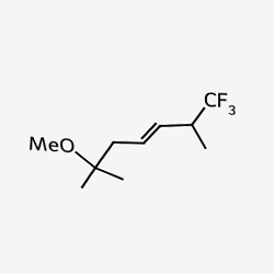 COC(C)(C)CC=CC(C)C(F)(F)F